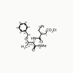 CCOC(=O)CC(CC(C)C)C(=O)N[C@H](C(=O)NC)[C@@H](C)OCc1ccccc1